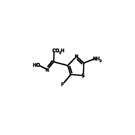 Nc1nc(/C(=N/O)C(=O)O)c(F)s1